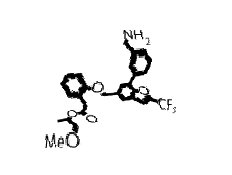 COCC(C)OC(=O)Cc1ccccc1OCc1cc(-c2cccc(CN)c2)c2oc(C(F)(F)F)cc2c1